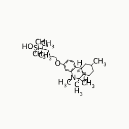 CC1CC[C@@H]2[C@@H](C1)c1ccc(OCCCC(C)(C)[Si](C)(C)O)cc1N(C)C2(C)C